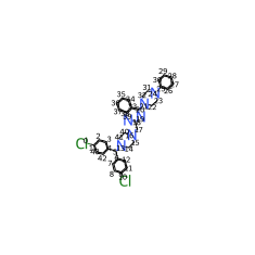 Clc1ccc(C(c2ccc(Cl)cc2)N2CCN(Cc3nc(N4CCN(c5ccccc5)CC4)c4ccccc4n3)CC2)cc1